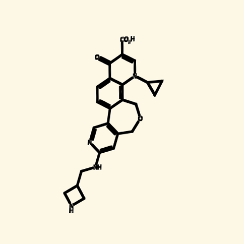 O=C(O)c1cn(C2CC2)c2c3c(ccc2c1=O)-c1cnc(NCC2CNC2)cc1COC3